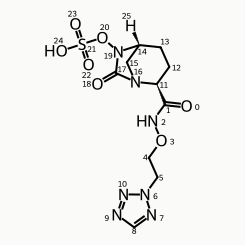 O=C(NOCCn1ncnn1)[C@@H]1CC[C@@H]2CN1C(=O)N2OS(=O)(=O)O